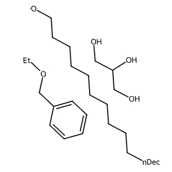 CCCCCCCCCCCCCCCCCCCC[O].CCOCc1ccccc1.OCC(O)CO